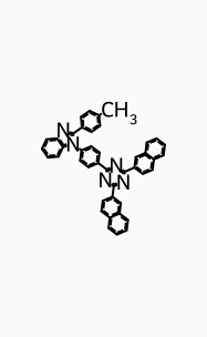 Cc1ccc(-c2nc3ccccc3n2-c2ccc(-c3nc(-c4ccc5ccccc5c4)nc(-c4ccc5ccccc5c4)n3)cc2)cc1